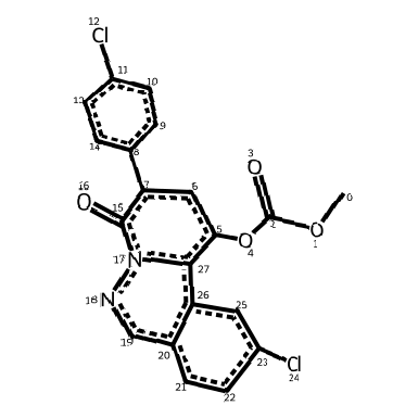 COC(=O)Oc1cc(-c2ccc(Cl)cc2)c(=O)n2ncc3ccc(Cl)cc3c12